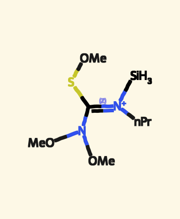 CCC/[N+]([SiH3])=C(/SOC)N(OC)OC